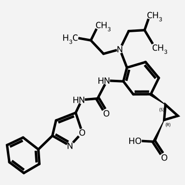 CC(C)CN(CC(C)C)c1ccc([C@H]2C[C@H]2C(=O)O)cc1NC(=O)Nc1cc(-c2ccccc2)no1